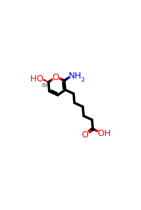 NC1=C(CCCCCC(=O)O)C=C[C@@H](O)O1